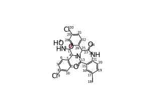 O=C(NO)C(c1ccc(Cl)cc1)N1C(=O)c2cc(I)ccc2NC(=O)C1c1ccc(Cl)cc1